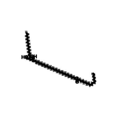 CCCCC/C=C\C/C=C\CCCCCCCC(=O)OCCCCCCCCCCCCCCCCCCCCCCCCCCCCCC(=O)CC(CO)C(O)/C=C/CCCCCCCCCCCCC